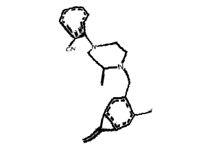 C=C1c2cc(C)c(CN3CCN(c4ccccc4C#N)CC3C)cc21